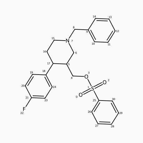 O=S(=O)(OCC1CN(Cc2ccccc2)CCC1c1ccc(F)cc1)c1ccccc1